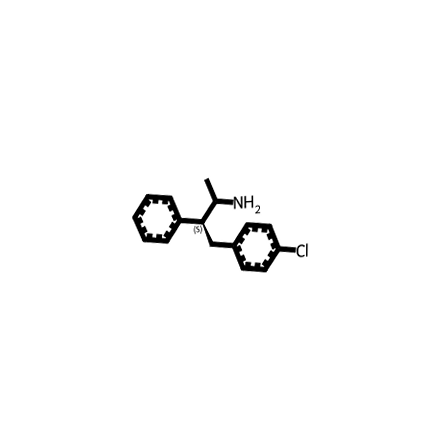 CC(N)[C@@H](Cc1ccc(Cl)cc1)c1ccccc1